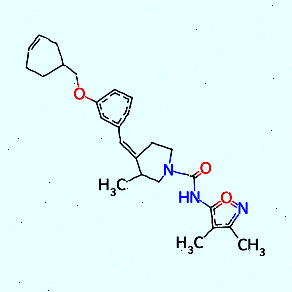 Cc1noc(NC(=O)N2CCC(=Cc3cccc(OCC4CC=CCC4)c3)C(C)C2)c1C